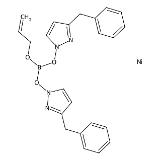 C=CCOB(On1ccc(Cc2ccccc2)n1)On1ccc(Cc2ccccc2)n1.[Ni]